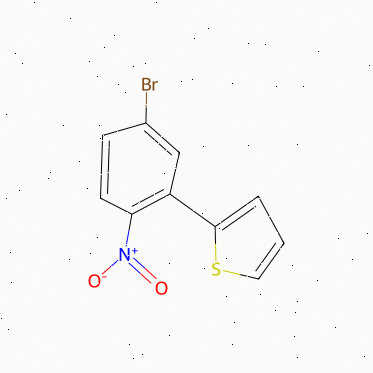 O=[N+]([O-])c1ccc(Br)cc1-c1cccs1